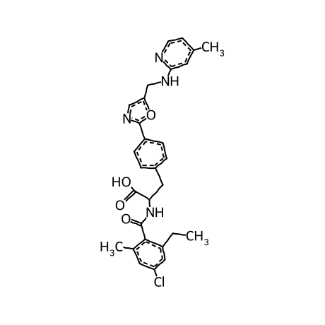 CCc1cc(Cl)cc(C)c1C(=O)NC(Cc1ccc(-c2ncc(CNc3cc(C)ccn3)o2)cc1)C(=O)O